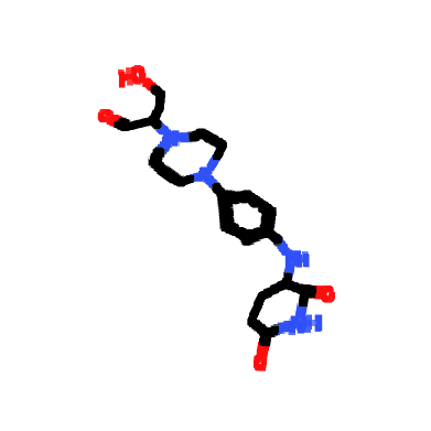 O=CC(CO)N1CCN(c2ccc(NC3CCC(=O)NC3=O)cc2)CC1